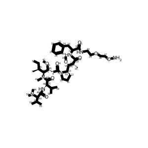 CC[C@H](C)[C@@H]([C@@H](CC(=O)N1CCC[C@H]1[C@H](OC)[C@@H](C)C(=O)NC(Cc1ccccc1)C(=O)NCCOCCON)OC)N(C)C(=O)[C@@H](NC(=O)C(C(C)C)N(C)C)C(C)C